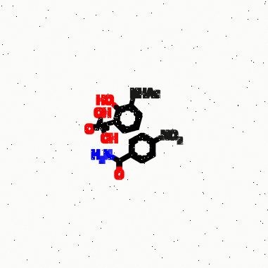 CC(=O)Nc1cccc([As](=O)(O)O)c1O.NC(=O)c1ccc([N+](=O)[O-])cc1